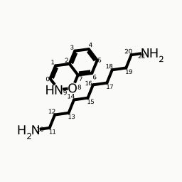 C1=Cc2ccccc2ON1.NCCCCCCCCCCN